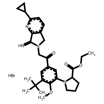 Br.CCOC(=O)C1CCCN1c1cc(C(=O)CN2Cc3ccc(C4CC4)nc3C2=N)cc(C(C)(C)C)c1OC